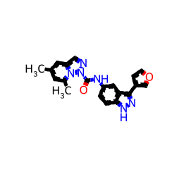 Cc1cc(C)[n+]2c(cnn2C(=O)Nc2ccc3[nH]nc(-c4ccoc4)c3c2)c1